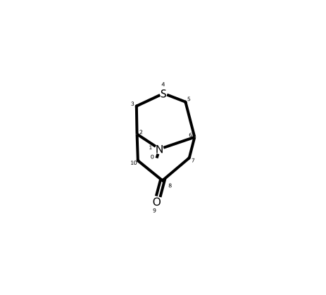 CN1C2CSCC1CC(=O)C2